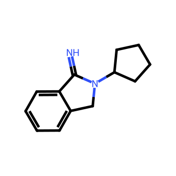 N=C1c2ccccc2CN1C1CCCC1